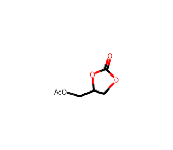 CC(=O)OCC1COC(=O)O1